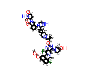 CCc1c(F)ccc2cc(OCOC)cc(-c3ncc4c(N5CCC[C@@](C)(O)C5)nc(OCC5(CN6CCC7(CC6)CC(C)(C6CNCCN6c6cccc8c6CN(C6CCC(=O)NC6=O)C8=O)C7)CC5)nc4c3F)c12